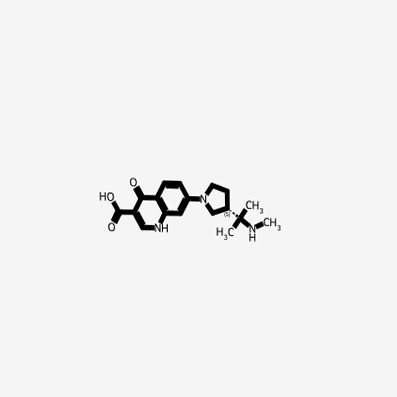 CNC(C)(C)[C@H]1CCN(c2ccc3c(=O)c(C(=O)O)c[nH]c3c2)C1